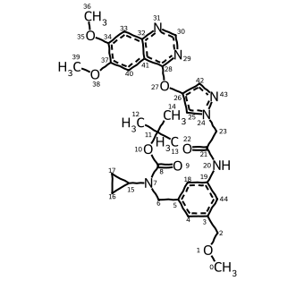 COCc1cc(CN(C(=O)OC(C)(C)C)C2CC2)cc(NC(=O)Cn2cc(Oc3ncnc4cc(OC)c(OC)cc34)cn2)c1